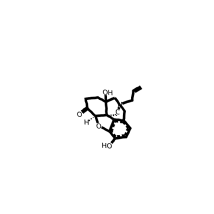 C=CCN1CC[C@]23c4c5ccc(O)c4O[C@H]2C(=O)CCC3(O)C1C5